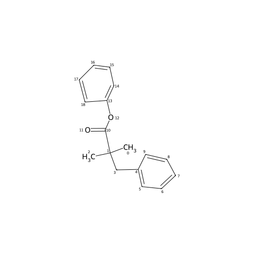 CC(C)(Cc1ccccc1)C(=O)Oc1ccccc1